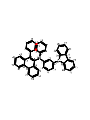 c1ccc(-c2c(N(c3ccccc3)c3cccc(-n4c5ccccc5c5ccccc54)c3)c3ccccc3c3ccccc23)cc1